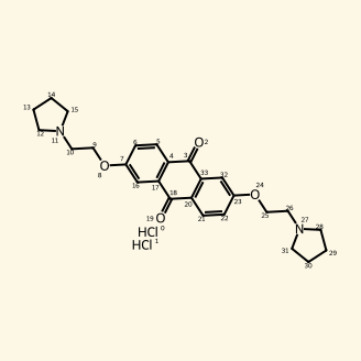 Cl.Cl.O=C1c2ccc(OCCN3CCCC3)cc2C(=O)c2ccc(OCCN3CCCC3)cc21